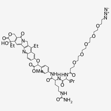 CCc1c2c(nc3ccc(OC(C(=O)OC)c4ccc(NC(=O)C(CCCNC(N)=O)NC(=O)C(NC(=O)CCOCCOCCOCCOCCOCCN=[N+]=[N-])C(C)C)cc4)cc13)-c1cc3c(c(=O)n1C2)COC(=O)[C@]3(O)CC